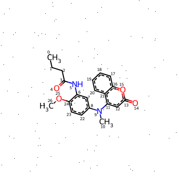 CCCC(=O)Nc1cc(N(C)c2cc(=O)oc3ccccc23)ccc1OC